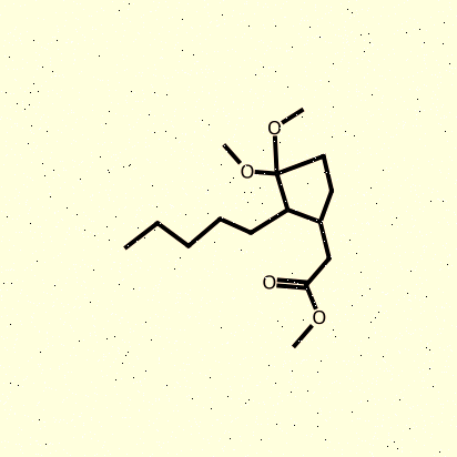 CCCCCC1C(CC(=O)OC)CCC1(OC)OC